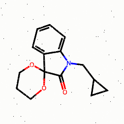 O=C1N(CC2CC2)c2ccccc2C12OCCCO2